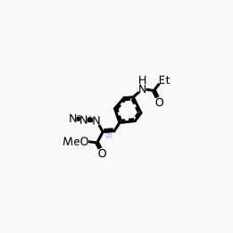 CCC(=O)Nc1ccc(/C=C(\N=[N+]=[N-])C(=O)OC)cc1